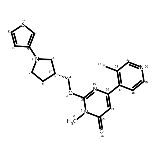 Cn1c(OC[C@@H]2CCN(c3ccsc3)C2)nc(-c2ccncc2F)cc1=O